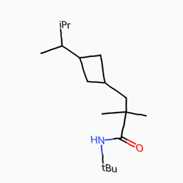 CC(C)C(C)C1CC(CC(C)(C)C(=O)NC(C)(C)C)C1